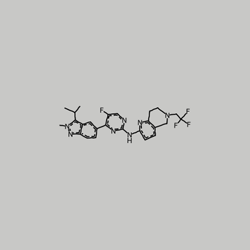 CC(C)c1c2cc(-c3nc(Nc4ccc5c(n4)CCN(CC(F)(F)F)C5)ncc3F)ccc2nn1C